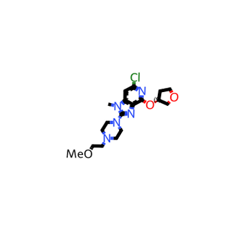 COCCN1CCN(c2nc3c(O[C@H]4CCOC4)nc(Cl)cc3n2C)CC1